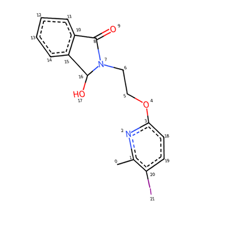 Cc1nc(OCCN2C(=O)c3ccccc3C2O)ccc1I